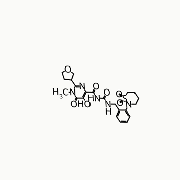 Cn1c(C2CCOC2)nc(C(=O)NC(=O)NCc2ccccc2N2CCCCS2(=O)=O)c(O)c1=O